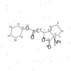 CCC[C@]12CCCC=C1C(CC(=O)OC1CCCCC1)OC2=O